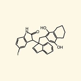 O=C1Nc2ccc(I)cc2C1C1(Cc2cc(O)c3c(c2O)CCCC3)C=Cc2ccccc21